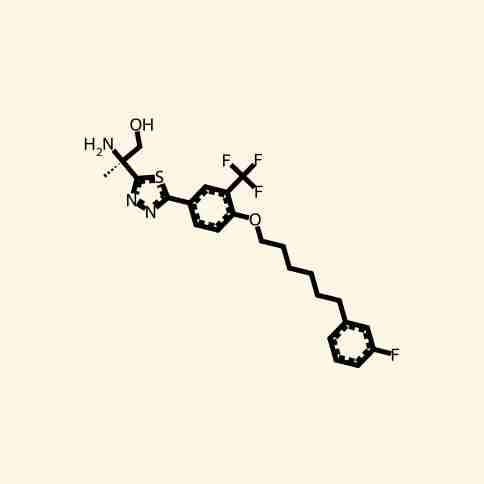 C[C@](N)(CO)c1nnc(-c2ccc(OCCCCCCc3cccc(F)c3)c(C(F)(F)F)c2)s1